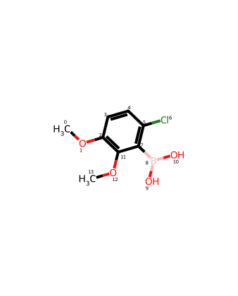 COc1ccc(Cl)c(B(O)O)c1OC